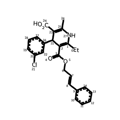 CCC1=C(C(=O)OCC=Cc2ccccc2)C(c2cccc(Cl)c2)C(C(=O)O)=C(C)N1